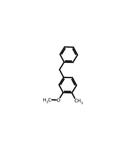 COc1cc(Cc2ccccc2)ccc1C